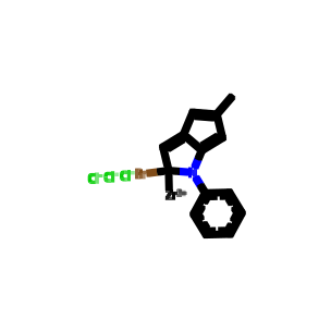 CC1=CC2=C[C](Br)([Zr+3])N(c3ccccc3)C2=C1.[Cl-].[Cl-].[Cl-]